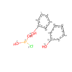 OP(O)Cl.Oc1ccccc1.Oc1ccccc1